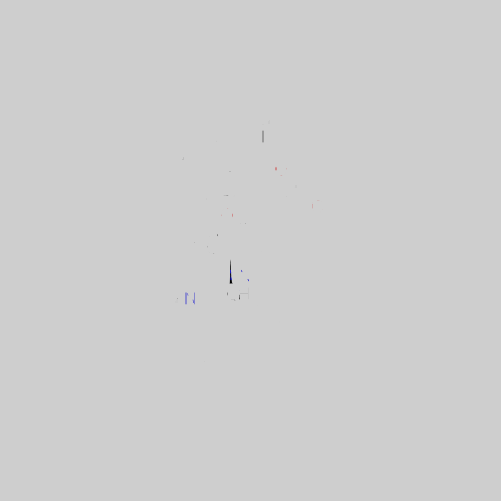 C[C@H]1CC2CC[C@H]3OC(=O)C4C1n1c(nc5ccccc51)CO[C@@]243